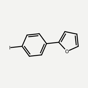 Ic1ccc(-c2ccco2)cc1